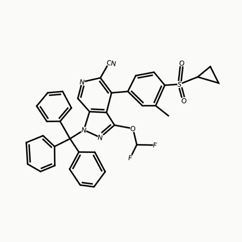 Cc1cc(-c2c(C#N)ncc3c2c(OC(F)F)nn3C(c2ccccc2)(c2ccccc2)c2ccccc2)ccc1S(=O)(=O)C1CC1